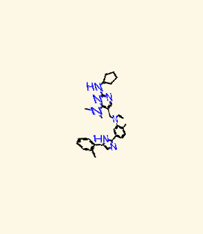 C=CN(Cc1cnc(NC2CCCC2)nc1N(C)C)c1cc(-c2ncc(-c3ccccc3C)[nH]2)ccc1C